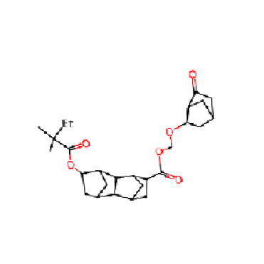 CCC(C)(C)C(=O)OC1CC2CC1C1C3CC(CC3C(=O)OCOC3CC4CC(=O)C3C4)C21